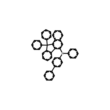 c1ccc(-c2ccc(N(c3ccccc3)c3cc4ccccc4c4c3-c3ccccc3C4(c3ccccc3)c3ccccc3)cc2)cc1